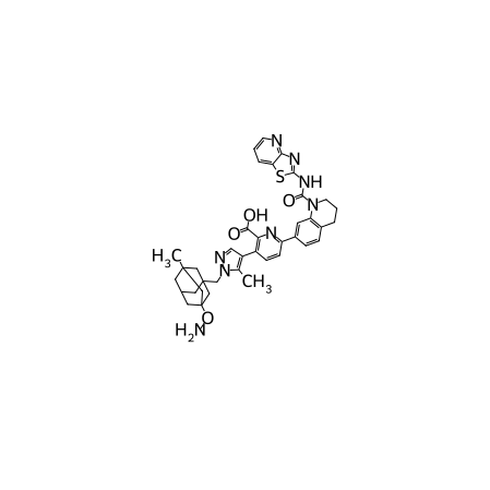 Cc1c(-c2ccc(-c3ccc4c(c3)N(C(=O)Nc3nc5ncccc5s3)CCC4)nc2C(=O)O)cnn1CC12CC3CC(C)(C1)CC(ON)(C3)C2